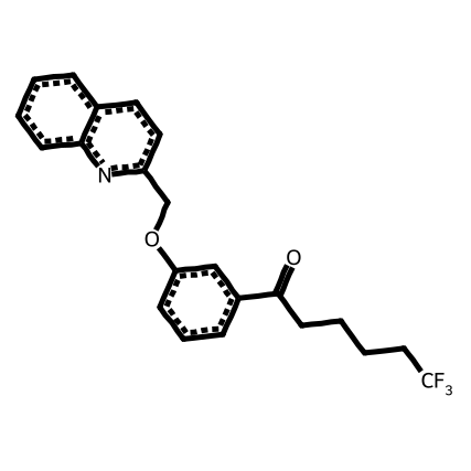 O=C(CCCCC(F)(F)F)c1cccc(OCc2ccc3ccccc3n2)c1